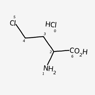 Cl.NC(CCCl)C(=O)O